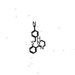 N#Cc1ccc(CSc2ccccc2C2=NCCCN2)cc1